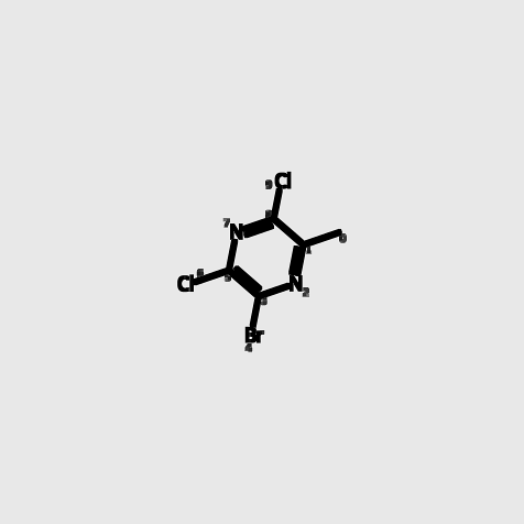 Cc1nc(Br)c(Cl)nc1Cl